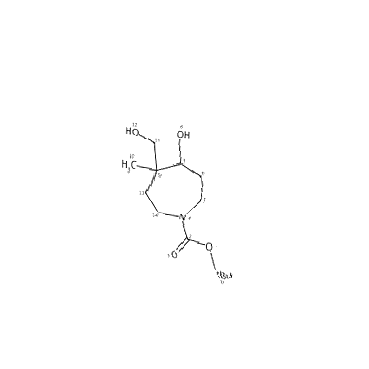 CC(C)(C)OC(=O)N1CCC(O)C(C)(CO)CC1